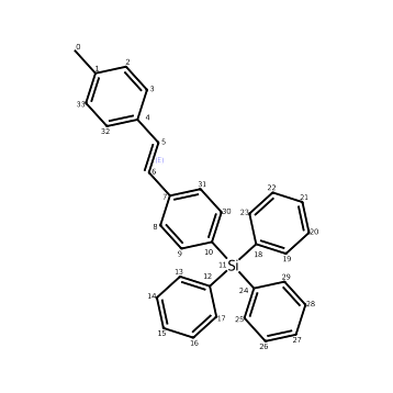 Cc1ccc(/C=C/c2ccc([Si](c3ccccc3)(c3ccccc3)c3ccccc3)cc2)cc1